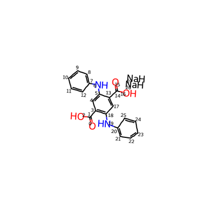 O=C(O)c1cc(Nc2ccccc2)c(C(=O)O)cc1Nc1ccccc1.[NaH].[NaH]